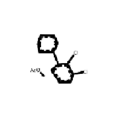 COC(C)=O.Clc1cccc(-c2ccccc2)c1Cl